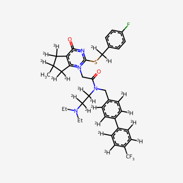 [2H]c1c([2H])c(-c2c([2H])c([2H])c(C(F)(F)F)c([2H])c2[2H])c([2H])c([2H])c1CN(C(=O)Cn1c(SC([2H])([2H])c2ccc(F)cc2)nc(=O)c2c1C([2H])([2H])C([2H])(C)C2([2H])[2H])C([2H])([2H])C([2H])([2H])N(CC)CC